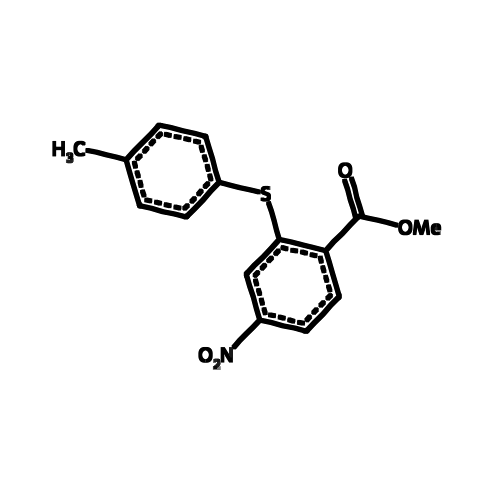 COC(=O)c1ccc([N+](=O)[O-])cc1Sc1ccc(C)cc1